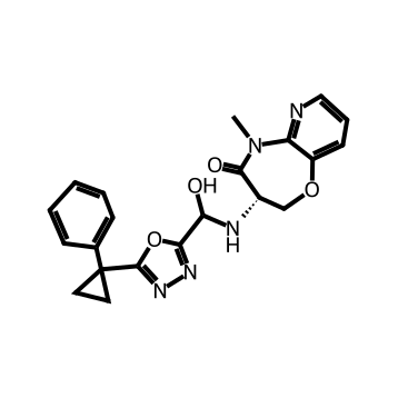 CN1C(=O)[C@@H](NC(O)c2nnc(C3(c4ccccc4)CC3)o2)COc2cccnc21